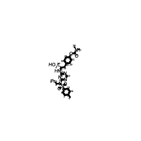 Cc1ccc(S(=O)(=O)N(CC(C)C)c2ncnc(N[C@@H](Cc3ccc(OC(=O)N(C)C)cc3)C(=O)O)n2)cc1